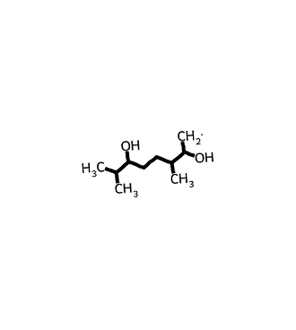 [CH2]C(O)C(C)CCC(O)C(C)C